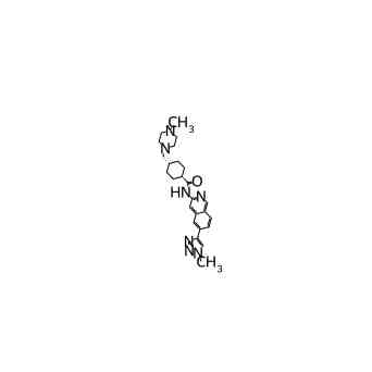 CN1CCN(C[C@H]2CC[C@H](C(=O)Nc3cc4cc(-c5cn(C)nn5)ccc4cn3)CC2)CC1